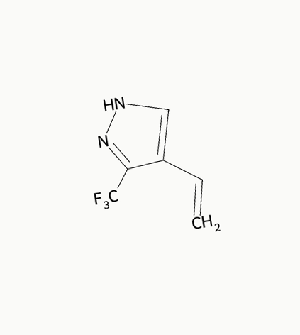 C=Cc1c[nH]nc1C(F)(F)F